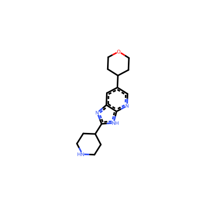 c1nc2[nH]c(C3CCNCC3)nc2cc1C1CCOCC1